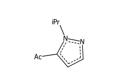 CC(=O)c1ccnn1C(C)C